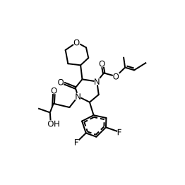 C/C=C(\C)OC(=O)N1CC(c2cc(F)cc(F)c2)N(CC(=O)C(C)O)C(=O)C1C1CCOCC1